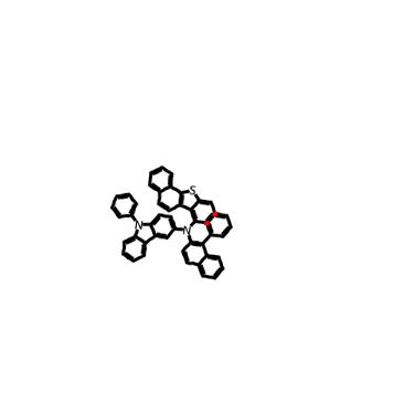 c1ccc(-c2c(N(c3ccc4c(c3)c3ccccc3n4-c3ccccc3)c3cccc4sc5c6ccccc6ccc5c34)ccc3ccccc23)cc1